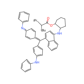 CC(C)C(C(=O)OC1CCCCC1Nc1ccc(C(=C2C=CC(=Nc3ccccc3)C=C2)c2ccc(Nc3ccccc3)cc2)c2ccccc12)C(C)(C)C